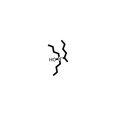 CCCCC(C)[N+](O)(CCCC)CCCC